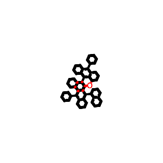 c1ccc(-c2c3ccccc3c(-c3cccc4ccccc34)c3c(Oc4cccc5c(-c6ccccc6)c6ccccc6c(-c6cccc7ccccc67)c45)cccc23)cc1